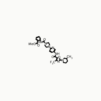 COC(=O)c1ccccc1NC(=O)N1CCN(c2ccc(NC(=O)c3oc(N4CCCC(C)C4)nc3C(F)(F)F)cn2)CC1